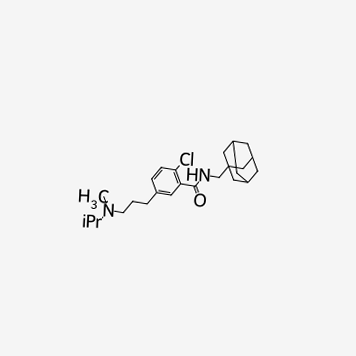 CC(C)N(C)CCCc1ccc(Cl)c(C(=O)NCC23CC4CC(CC(C4)C2)C3)c1